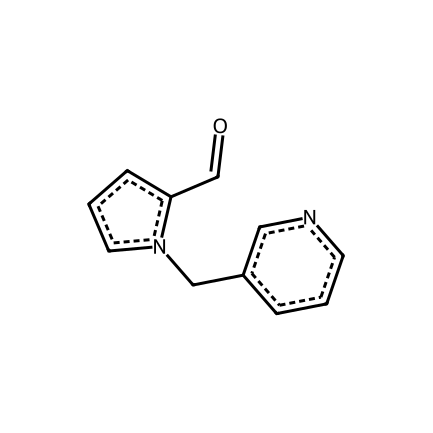 O=Cc1cccn1Cc1cccnc1